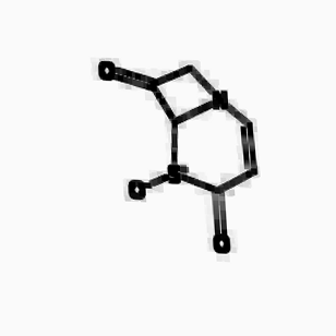 O=C1CN2C=CC(=O)[S+]([O-])C12